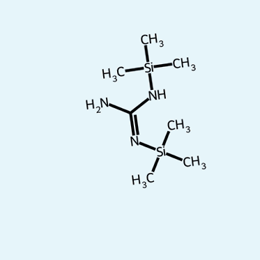 C[Si](C)(C)N=C(N)N[Si](C)(C)C